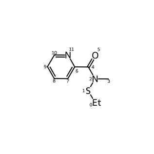 CCSN(C)C(=O)c1ccccn1